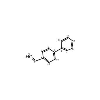 [CH]=Cc1ccc(-c2ccccc2)cc1